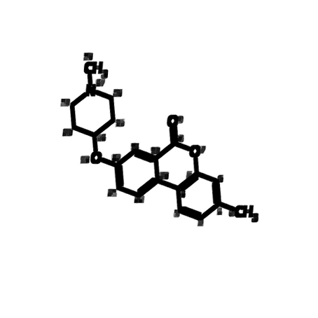 Cc1ccc2c(c1)oc(=O)c1cc(OC3CCN(C)CC3)ccc12